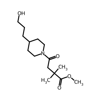 COC(=O)C(C)(C)CC(=O)N1CCC(CCCO)CC1